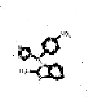 CC1Sc2ccccc2N1N(c1ccc([N+](=O)[O-])cc1)n1cnnc1